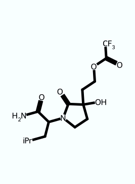 CC(C)CC(C(N)=O)N1CCC(O)(CCOC(=O)C(F)(F)F)C1=O